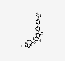 O[C@@H]1CO[C@@H]2C(Oc3nc4nc(-c5ccc(-c6ccc(-n7cncn7)cc6)cc5)c(Cl)cc4[nH]3)CO[C@H]12